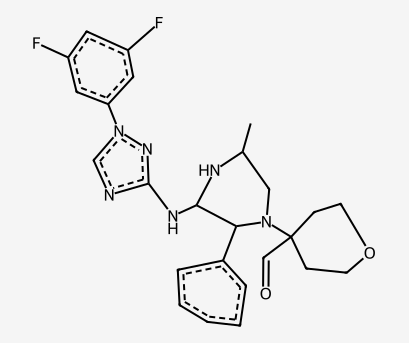 CC1CN(C2(C=O)CCOCC2)C(c2ccccc2)C(Nc2ncn(-c3cc(F)cc(F)c3)n2)N1